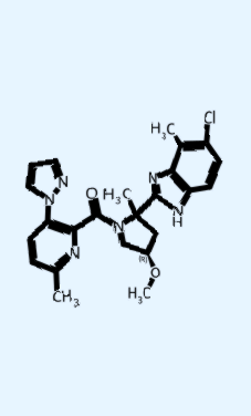 CO[C@H]1CN(C(=O)c2nc(C)ccc2-n2cccn2)C(C)(c2nc3c(C)c(Cl)ccc3[nH]2)C1